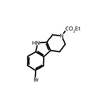 CCOC(=O)N1CCc2c([nH]c3ccc(Br)cc23)C1